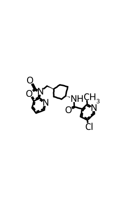 Cc1ncc(Cl)cc1C(=O)N[C@H]1CC[C@H](Cn2c(=O)oc3cccnc32)CC1